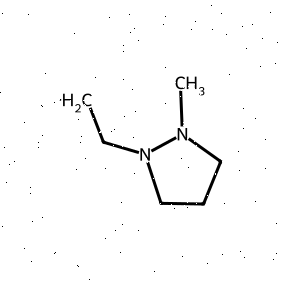 [CH2]CN1CCCN1C